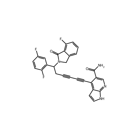 NC(=O)c1cnc2[nH]ccc2c1C#CC#CCC(c1cc(F)ccc1F)N1Cc2cccc(F)c2C1=O